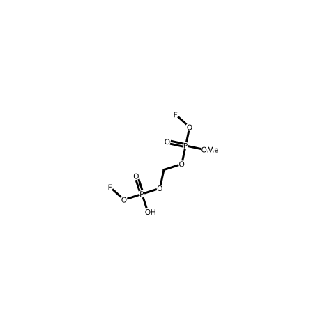 COP(=O)(OF)OCOP(=O)(O)OF